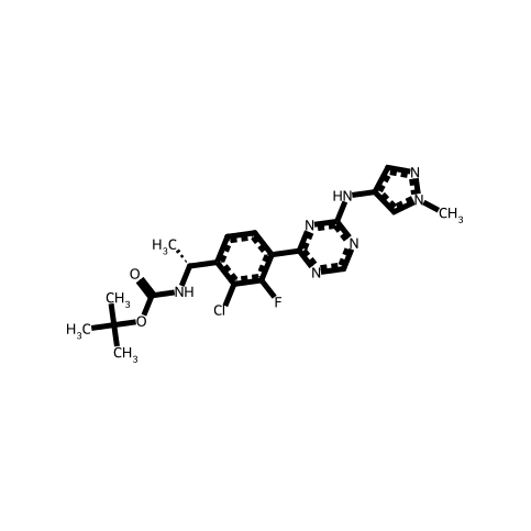 C[C@@H](NC(=O)OC(C)(C)C)c1ccc(-c2ncnc(Nc3cnn(C)c3)n2)c(F)c1Cl